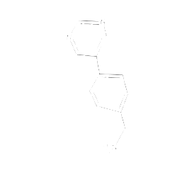 NCc1ccc(-c2cncnc2)cc1